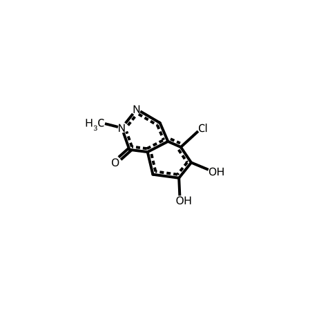 Cn1ncc2c(Cl)c(O)c(O)cc2c1=O